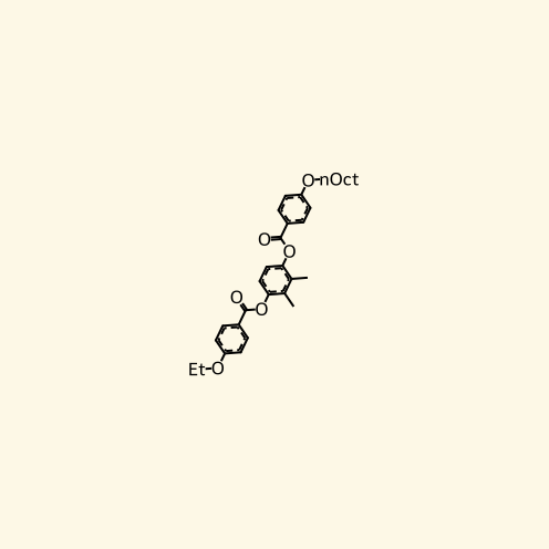 CCCCCCCCOc1ccc(C(=O)Oc2ccc(OC(=O)c3ccc(OCC)cc3)c(C)c2C)cc1